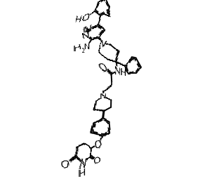 Nc1nnc(-c2ccccc2O)cc1N1CCC(NC(=O)CCN2CCC(c3ccc(OC4CCC(=O)NC4=O)cc3)CC2)(c2ccccc2)CC1